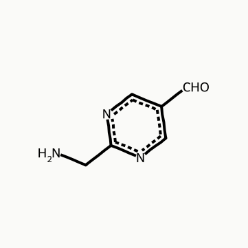 NCc1ncc(C=O)cn1